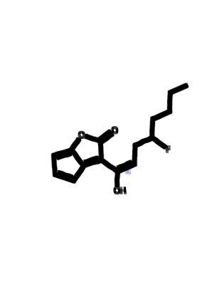 CCCCC(F)C/C=C(/O)C1=C2C=CC=C2OC1=O